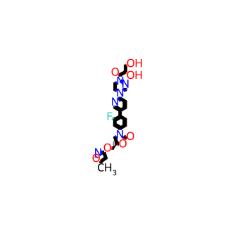 CC1CC(OC[C@H]2CN(c3ccc(-c4ccc(N5C=NN(C(=O)C(O)CO)CC5)nc4)c(F)c3)C(=O)O2)=NO1